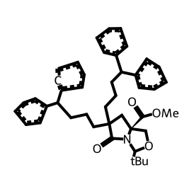 COC(=O)[C@@]12COC(C(C)(C)C)N1C(=O)C(CCCC(c1ccccc1)c1ccccc1)(CCCC(c1ccccc1)c1ccccc1)C2